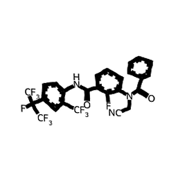 N#CCN(C(=O)c1ccccc1)c1cccc(C(=O)Nc2ccc(C(F)(C(F)(F)F)C(F)(F)F)cc2C(F)(F)F)c1F